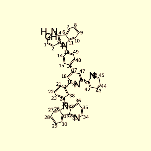 C/C=C\c1c(N)c2ccccc2n1-c1ccc(-c2cc(-c3cccc(-n4c5ccccc5c5ncccc54)c3)nc(-c3ccccn3)c2)cc1